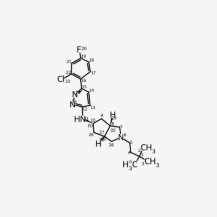 CC(C)(C)CCN1C[C@H]2C[C@H](Nc3ccc(-c4ccc(F)cc4Cl)nn3)C[C@H]2C1